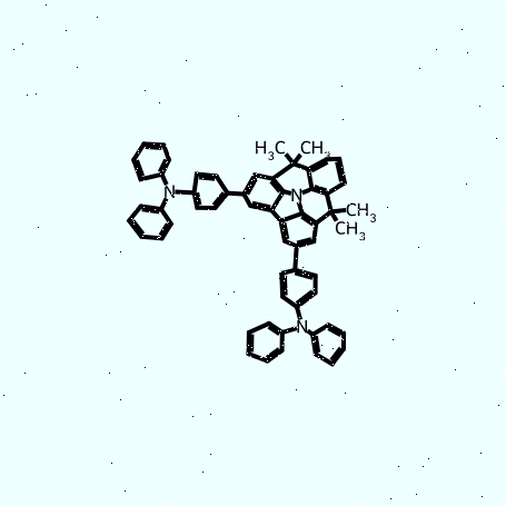 CC1(C)c2cccc3c2-n2c4c1cc(-c1ccc(N(c5ccccc5)c5ccccc5)cc1)cc4c1cc(-c4ccc(N(c5ccccc5)c5ccccc5)cc4)cc(c12)C3(C)C